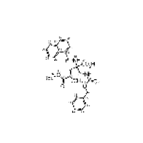 CC(CC(CNC(=O)OCc1ccccc1)(NCc1cccc2ccccc12)C(=O)O)C(=O)OC(C)(C)C